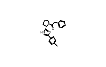 Cc1ccc(-c2c[nH]c([C@@H]3CCCN3C(=O)Cc3ccccc3)n2)cc1